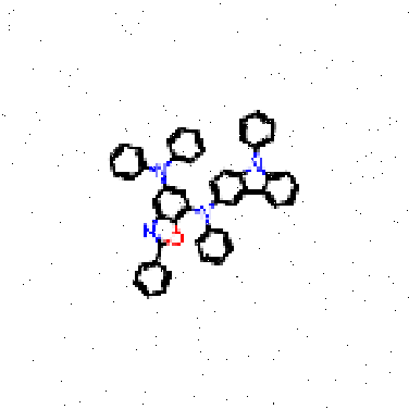 c1ccc(-c2nc3cc(N(c4ccccc4)c4ccccc4)cc(N(c4ccccc4)c4ccc5c(c4)c4ccccc4n5-c4ccccc4)c3o2)cc1